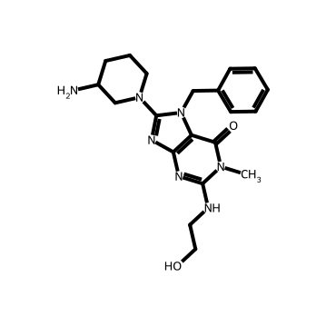 Cn1c(NCCO)nc2nc(N3CCCC(N)C3)n(Cc3ccccc3)c2c1=O